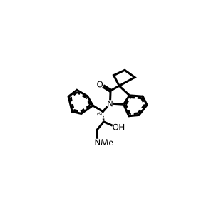 CNCC(O)[C@H](c1ccccc1)N1C(=O)C2(CCC2)c2ccccc21